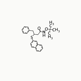 CC(C)(C)ONC(=O)CC(Cc1ccccc1)Sc1ccc2ccccc2c1